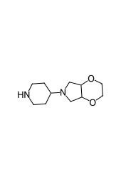 C1CC(N2CC3OCCOC3C2)CCN1